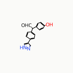 O=CC(c1ccc(O)cc1)c1ccc(-c2cn[nH]c2)cc1